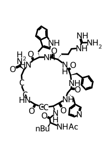 CCCC[C@H](NC(C)=O)C(=O)N[C@H]1CCC(=O)NCCCC[C@@H](C(N)=O)NC(=O)[C@H](Cc2c[nH]c3ccccc23)NC(=O)[C@H](CCCNC(=N)N)NC(=O)[C@@H](Cc2ccccc2)NC(=O)[C@H](Cc2cccnc2)NC1=O